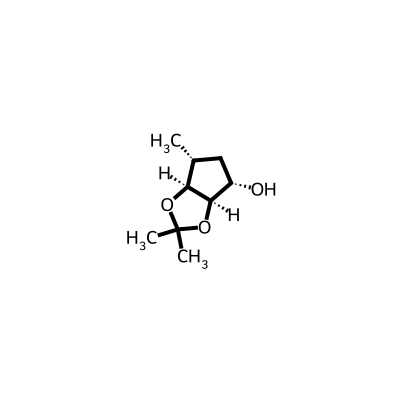 C[C@@H]1C[C@H](O)[C@H]2OC(C)(C)O[C@H]21